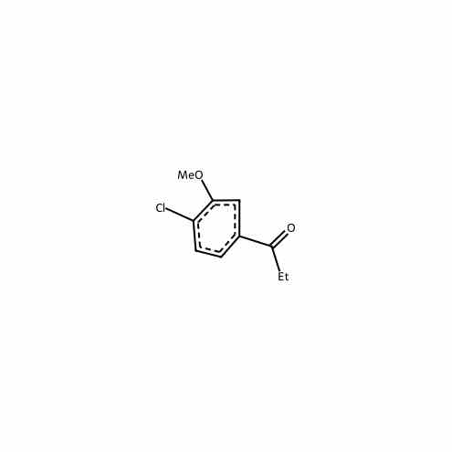 CCC(=O)c1ccc(Cl)c(OC)c1